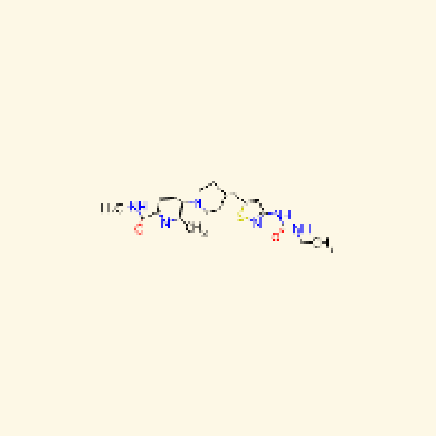 CCNC(=O)Nc1cc(CC2CCN(c3ccc(C(=O)NC)nc3C)CC2)sn1